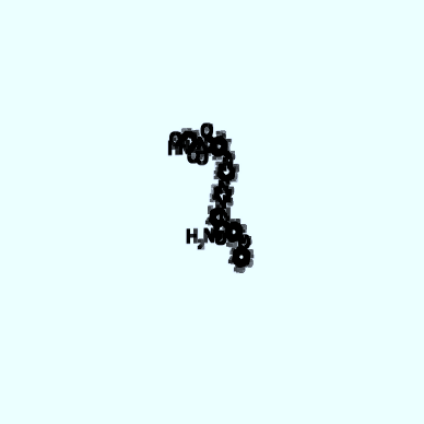 NC(=O)c1ccc(N2CCN(C3CCN(Cc4ccc5c(c4)C(=O)N(C4CCC(=O)NC4=O)C5=O)CC3)CC2)nc1-c1ccc(Oc2ccccc2)cc1